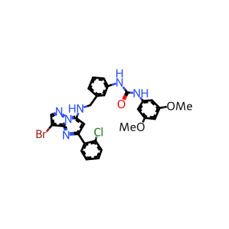 COc1cc(NC(=O)Nc2cccc(CNc3cc(-c4ccccc4Cl)nc4c(Br)cnn34)c2)cc(OC)c1